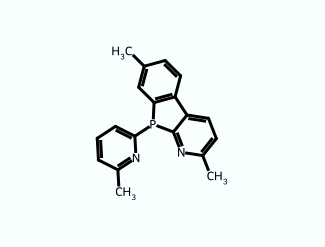 Cc1ccc2c3ccc(C)nc3p(-c3cccc(C)n3)c2c1